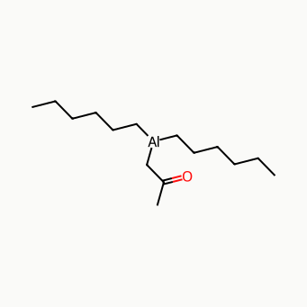 CCCCC[CH2][Al]([CH2]CCCCC)[CH2]C(C)=O